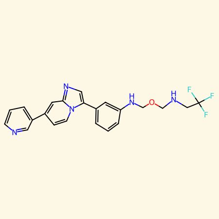 FC(F)(F)CNCOCNc1cccc(-c2cnc3cc(-c4cccnc4)ccn23)c1